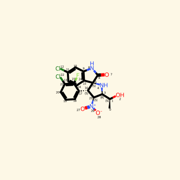 C[C@H](O)[C@@H]1N[C@@]2(C(=O)Nc3cc(Cl)ccc32)[C@@H](c2cccc(Cl)c2F)[C@@H]1[N+](=O)[O-]